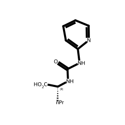 CCC[C@@H](NC(=O)Nc1ccccn1)C(=O)O